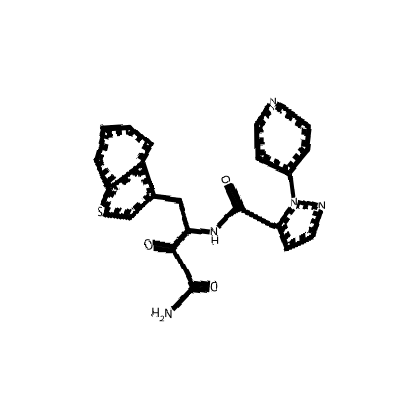 NC(=O)C(=O)C(Cc1csc2ccccc12)NC(=O)c1ccnn1-c1ccncc1